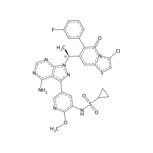 COc1ncc(-c2nn([C@@H](C)c3cc4scc(Cl)n4c(=O)c3-c3cccc(F)c3)c3ncnc(N)c23)cc1NS(=O)(=O)C1CC1